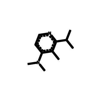 Cc1c(N(C)C)ccnc1C(C)C